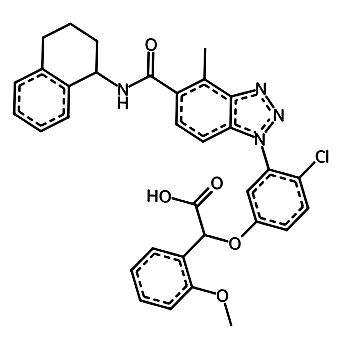 COc1ccccc1C(Oc1ccc(Cl)c(-n2nnc3c(C)c(C(=O)NC4CCCc5ccccc54)ccc32)c1)C(=O)O